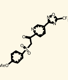 COc1ccc(S(=O)(=O)CC(=O)c2ccc(-c3noc(C(F)(F)F)n3)cn2)cc1